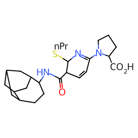 CCCSC1N=C(N2CCCC2C(=O)O)C=CC1C(=O)NC1CCC2CC3CC2CC1C3